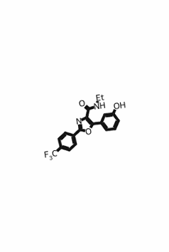 CCNC(=O)c1nc(-c2ccc(C(F)(F)F)cc2)oc1-c1cccc(O)c1